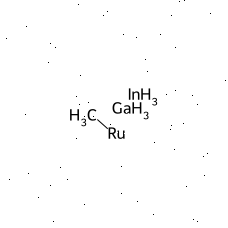 [CH3][Ru].[GaH3].[InH3]